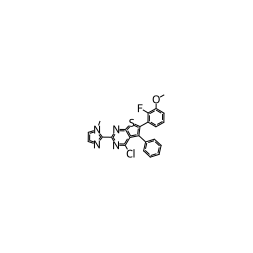 COc1cccc(-c2sc3nc(-c4nccn4C)nc(Cl)c3c2-c2ccccc2)c1F